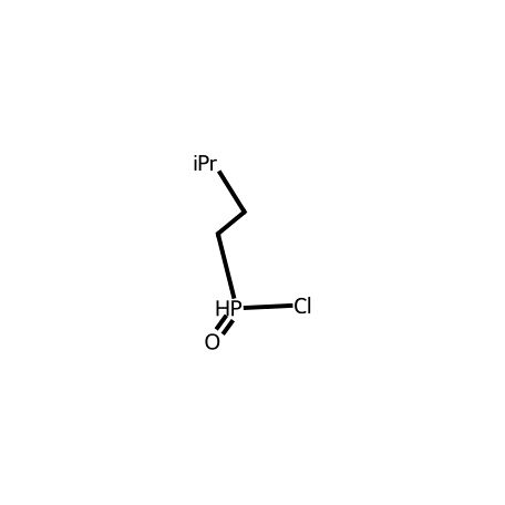 CC(C)CC[PH](=O)Cl